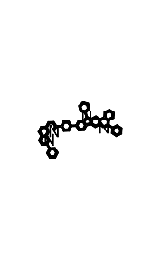 c1ccc(-c2ccc3ccc4ccc(-c5ccc(-c6ccc7c8cc9nc(-c%10ccccc%10)c%10ccccc%10c9cc8n(-c8ccccc8)c7c6)cc5)nc4c3n2)cc1